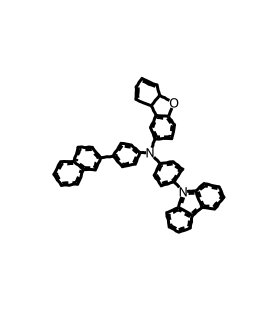 C1=CC2Oc3ccc(N(c4ccc(-c5ccc6ccccc6c5)cc4)c4ccc(-n5c6ccccc6c6ccccc65)cc4)cc3C2C=C1